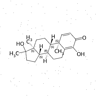 CC1(O)CC[C@H]2[C@@H]3CCC4=C(O)C(=O)C=C[C@]4(C)[C@H]3CC[C@@]21C